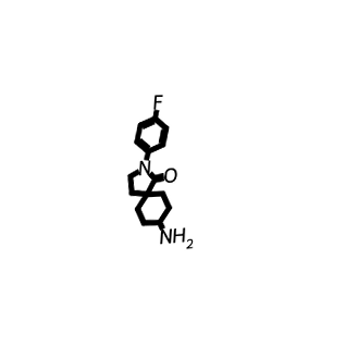 NC1CCC2(CC1)CCN(c1ccc(F)cc1)C2=O